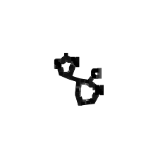 Clc1ncccc1-c1cs[c]n1